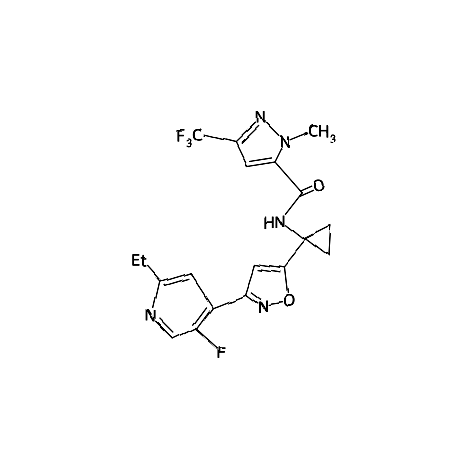 CCc1cc(-c2cc(C3(NC(=O)c4cc(C(F)(F)F)nn4C)CC3)on2)c(F)cn1